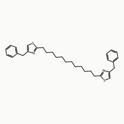 c1ccc(Cc2csc(CCCCCCCCCCCCc3nc(Cc4ccccc4)cs3)n2)cc1